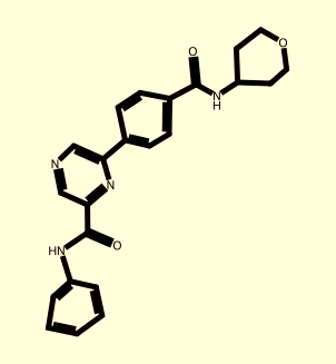 O=C(NC1CCOCC1)c1ccc(-c2cncc(C(=O)Nc3ccccc3)n2)cc1